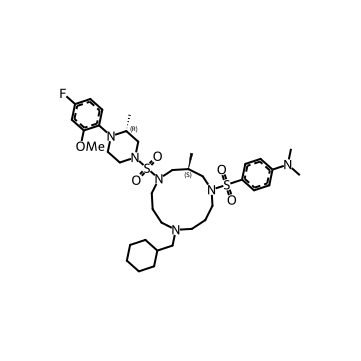 COc1cc(F)ccc1N1CCN(S(=O)(=O)N2CCCN(CC3CCCCC3)CCCN(S(=O)(=O)c3ccc(N(C)C)cc3)C[C@H](C)C2)C[C@H]1C